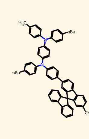 CCCCc1ccc(N(c2ccc(C)cc2)c2ccc(N(c3ccc(CCCC)cc3)c3ccc(-c4ccc5c(c4)C4(c6ccccc6-c6ccccc64)c4cc(C)ccc4-5)cc3)cc2)cc1